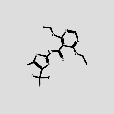 CCOc1ncnc(OCC)c1C(=O)Nc1nc(C(F)(F)F)c(I)s1